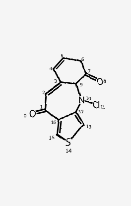 O=C1C=C2C=CCC(=O)C2N(Cl)c2cscc21